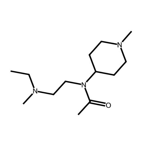 CCN(C)CCN(C(C)=O)C1CCN(C)CC1